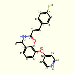 CC(NC(=O)C=Cc1ccc(F)cc1)c1cccc(Oc2ccncc2)c1